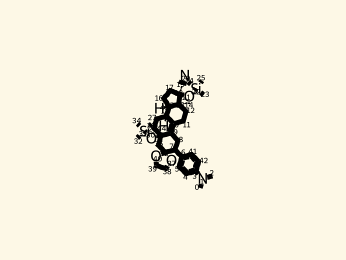 CN(C)c1ccc(C2CC3=C4CC[C@@]5(C)[C@@H](CC[C@@]5(C#N)O[Si](C)(C)C)[C@@H]4CC[C@@]3(O[Si](C)(C)C)CC23OCCO3)cc1